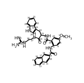 COc1ccc(NC(=O)c2ccc3ccccc3c2)c(C(=O)NC(Cc2c[nH]c3ccccc23)C(=O)NCCNC(=N)N)c1